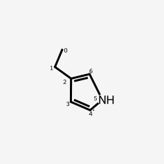 CCc1c[c][nH]c1